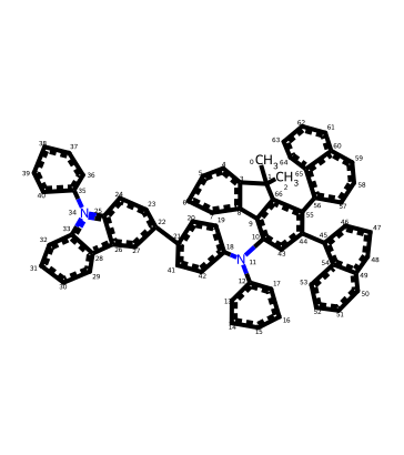 CC1(C)c2ccccc2-c2c(N(c3ccccc3)c3ccc(-c4ccc5c(c4)c4ccccc4n5-c4ccccc4)cc3)cc(-c3cccc4ccccc34)c(-c3cccc4ccccc34)c21